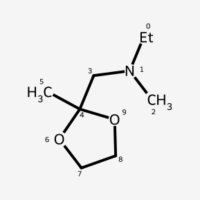 CCN(C)CC1(C)OCCO1